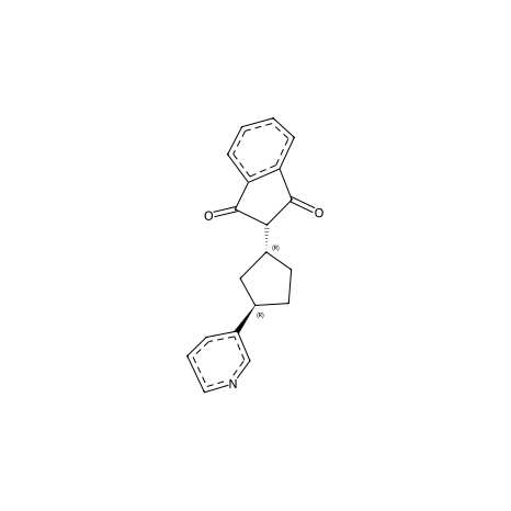 O=C1c2ccccc2C(=O)C1[C@@H]1CC[C@@H](c2cccnc2)C1